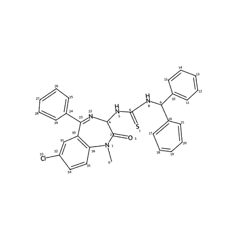 CN1C(=O)C(NC(=S)NC(c2ccccc2)c2ccccc2)N=C(c2ccccc2)c2cc(Cl)ccc21